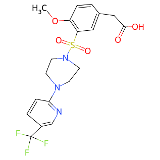 COc1ccc(CC(=O)O)cc1S(=O)(=O)N1CCN(c2ccc(C(F)(F)F)cn2)CC1